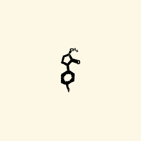 CN1CCC(c2ccc(F)cc2)C1=O